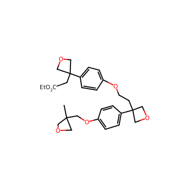 CCOC(=O)CC1(c2ccc(OCCC3(c4ccc(OCC5(C)COC5)cc4)COC3)cc2)COC1